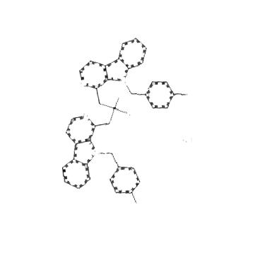 CCCC(N)(Cc1nccc2c3ccccc3n(Cc3ccc(F)cc3)c12)Cc1nccc2c3ccccc3n(Cc3ccc(F)cc3)c12.N